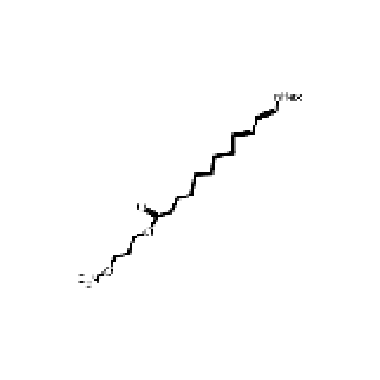 CCCCCC/C=C/C=C/CCCCCCCC(=O)OCCCO[N+](=O)[O-]